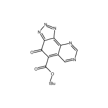 CC(C)(C)OC(=O)C1=c2cncnc2=C2N=NN=C2C1=O